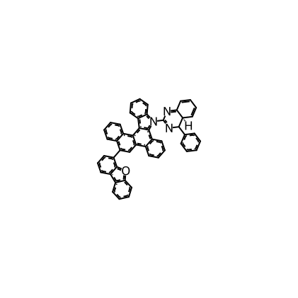 C1=CC2=NC(n3c4ccccc4c4c5c6ccccc6c(-c6cccc7c6oc6ccccc67)cc5c5ccccc5c43)=NC(c3ccccc3)[C@@H]2C=C1